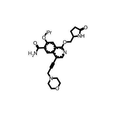 CC(C)Oc1cc2c(OCC3CCC(=O)N3)ncc(C#CCN3CCOCC3)c2cc1C(N)=O